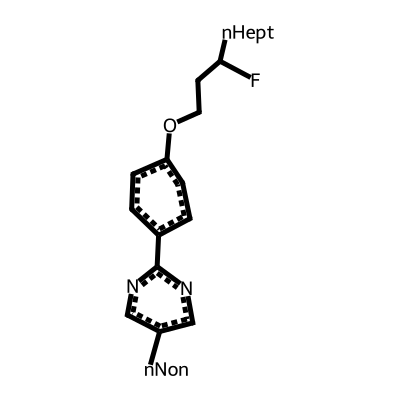 CCCCCCCCCc1cnc(-c2ccc(OCCC(F)CCCCCCC)cc2)nc1